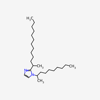 CCCCCCCCCCCC(C)c1nccn1C(C)CCCCCCCC